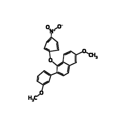 COc1cccc(-c2ccc3cc(OC)ccc3c2Oc2ccc([N+](=O)[O-])cc2)c1